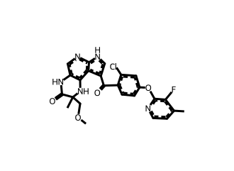 COCC1(C)Nc2c(cnc3[nH]cc(C(=O)c4ccc(Oc5nccc(C)c5F)cc4Cl)c23)NC1=O